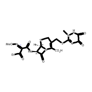 CCC(=O)/C(=N\OC)C(=O)N[C@@H]1C(=O)N2C(C(=O)O)=C(CSc3nc(=O)c(=O)[nH]n3C)CS[C@H]12